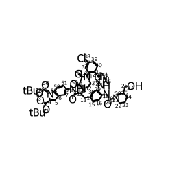 CC(C)(C)OC(=O)c1cc2cc(NC(=O)C(Cc3ccc(NC(=O)N4CCCC(CO)C4)cc3)N3CCN(c4cc(Cl)ccc4-n4cnnn4)C(=O)C3=O)ccc2n1C(=O)OC(C)(C)C